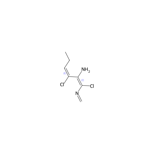 C=N/C(Cl)=C(N)\C(Cl)=C/CC